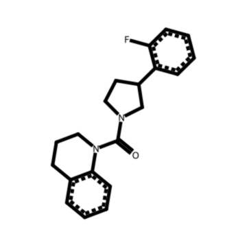 O=C(N1CCC(c2ccccc2F)C1)N1CCCc2ccccc21